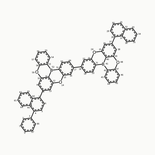 c1ccc(-c2ccc(-c3cc4c5c(c3)Oc3cc(-c6ccc7c(c6)Oc6cc(-c8cccc9ccccc89)cc8c6B7c6ccccc6O8)ccc3B5c3ccccc3O4)c3ccccc23)cc1